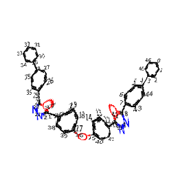 c1ccc(-c2ccc(-c3nnc(-c4ccc(Oc5ccc(-c6nnc(-c7ccc(-c8ccccc8)cc7)o6)cc5)cc4)o3)cc2)cc1